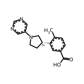 Cc1ccc(C(=O)O)cc1[C@@H]1CCN(c2cncnc2)C1